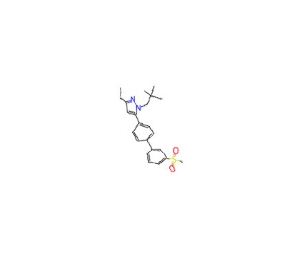 CCc1cc(-c2ccc(-c3cccc(S(C)(=O)=O)c3)cc2)n(CC(C)(C)C)n1